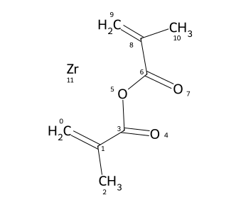 C=C(C)C(=O)OC(=O)C(=C)C.[Zr]